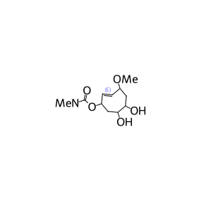 CNC(=O)OC1/C=C/C(OC)CC(O)C(O)C1